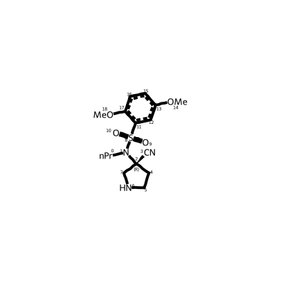 CCCN([C@]1(C#N)CCNC1)S(=O)(=O)c1cc(OC)ccc1OC